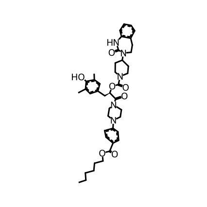 CCCCCCOC(=O)c1ccc(N2CCN(C(=O)[C@@H](Cc3cc(C)c(O)c(C)c3)OC(=O)N3CCC(N4CCc5ccccc5NC4=O)CC3)CC2)cc1